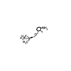 CC[Si](C#CCOCc1cccc(N)c1I)(CC)CC